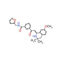 COc1ccc2c(c1)C(=CC(=O)c1cccc(C(=O)NCc3ccco3)c1)NC(C)(C)C2